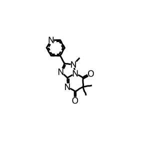 CN1C(c2ccncc2)=NC2=NC(=O)C(C)(C)C(=O)N21